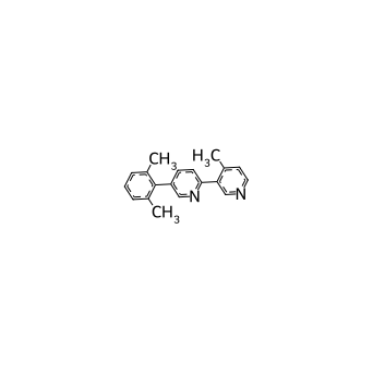 Cc1ccncc1-c1ccc(-c2c(C)cccc2C)cn1